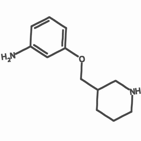 Nc1cccc(OCC2CCCNC2)c1